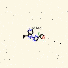 CC(=O)Nc1cc2c(cn1)c(C1CC1)nn2-c1nccc(C2(F)CCOC2)n1